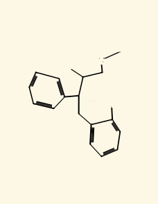 CCNCC(O)[C@@](O)(Cc1ccccc1Br)c1ccccc1